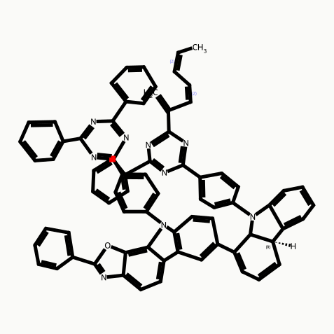 C=C(/C=C\C=C/C)c1nc(-c2ccccc2)nc(-c2ccc(N3c4ccccc4[C@H]4C=CC=C(c5ccc6c(c5)c5ccc7nc(-c8ccccc8)oc7c5n6-c5ccc(-c6nc(-c7ccccc7)nc(-c7ccccc7)n6)cc5)C43)cc2)n1